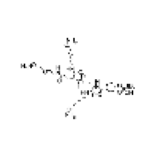 CC(C)(C)P(=O)(O)O[C@H]1CC[C@H](C(=O)NC(CCC(=O)NC(CCC(=O)NCCOCCON)C(=O)NCCOCCON)C(=O)NCCOCCON)CC1